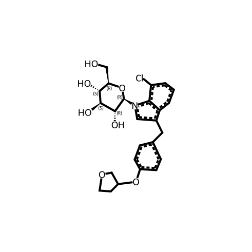 OC[C@H]1O[C@@H](n2cc(Cc3ccc(OC4CCOC4)cc3)c3cccc(Cl)c32)[C@H](O)[C@@H](O)[C@@H]1O